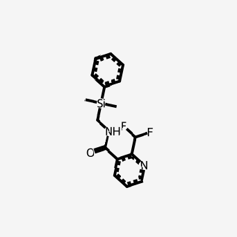 C[Si](C)(CNC(=O)c1cccnc1C(F)F)c1ccccc1